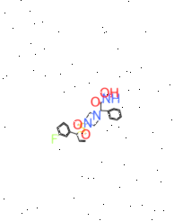 C=CC(c1cccc(F)c1)S(=O)(=O)N1CCN(C(C(=O)NO)c2ccccc2)CC1